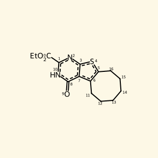 CCOC(=O)c1nc2sc3c(c2c(=O)[nH]1)CCCCCC3